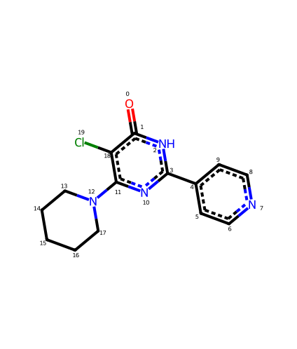 O=c1[nH]c(-c2ccncc2)nc(N2CCCCC2)c1Cl